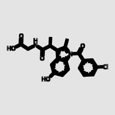 Cc1c(C(C)C(=O)NCC(=O)O)c2cc(O)ccc2n1C(=O)c1cccc(Cl)c1